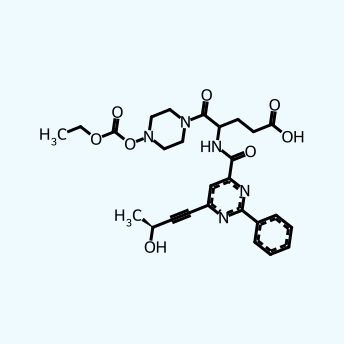 CCOC(=O)ON1CCN(C(=O)C(CCC(=O)O)NC(=O)c2cc(C#C[C@H](C)O)nc(-c3ccccc3)n2)CC1